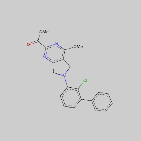 COC(=O)c1nc2c(c(OC)n1)CN(c1cccc(-c3ccccc3)c1Cl)C2